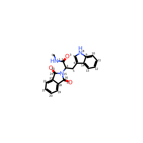 CNC(=O)C(Cc1c[nH]c2ccccc12)N1C(=O)c2ccccc2C1=O